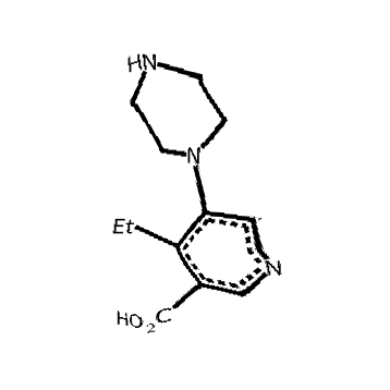 CCc1c(N2CCNCC2)[c]ncc1C(=O)O